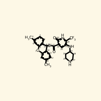 Cc1ccc2c(c1)Oc1cc(C)ccc1C2NC(=O)c1cc(NC2CCNCC2)c(C(F)(F)F)[nH]c1=O